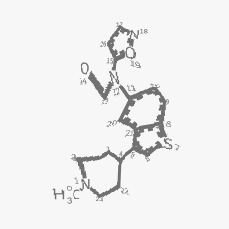 CN1CCC(c2csc3ccc(N(C=O)c4ccno4)cc23)CC1